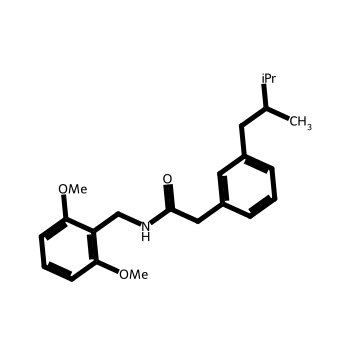 COc1cccc(OC)c1CNC(=O)Cc1cccc(CC(C)C(C)C)c1